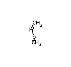 CCCCc1ccc(C#C/C=C/[C@H]2CC[C@H](CCC)CC2)c(F)c1